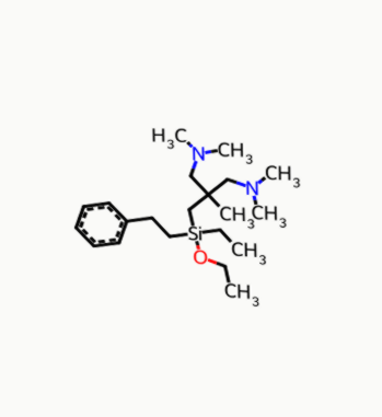 CCO[Si](CC)(CCc1ccccc1)CC(C)(CN(C)C)CN(C)C